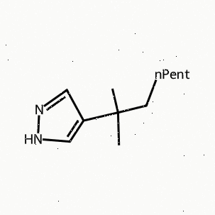 CCCCCCC(C)(C)c1cn[nH]c1